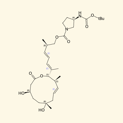 C/C(=C\C=C\[C@@H](C)COC(=O)N1CC[C@@H](NC(=O)OC(C)(C)C)C1)[C@H]1OC(=O)C[C@H](O)CC[C@@](C)(O)C/C=C/[C@@H]1C